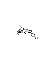 Cn1cc(C(=O)Nc2cc(Cl)cc(NS(C)(=O)=O)c2)cc1-c1ccc(N2CCC2)cn1